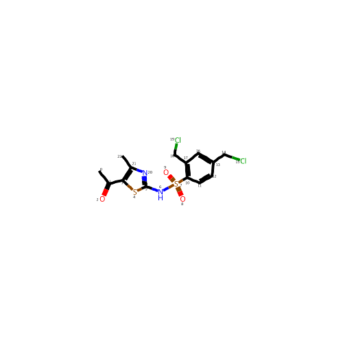 CC(=O)c1sc(NS(=O)(=O)c2ccc(CCl)cc2CCl)nc1C